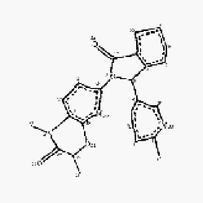 Cc1ccc(C2c3ccccc3C(=O)N2c2ccc3c(n2)OC(C)C(=O)N3C)cn1